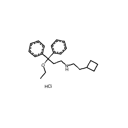 CCOC(CCNCCC1CCC1)(c1ccccc1)c1ccccc1.Cl